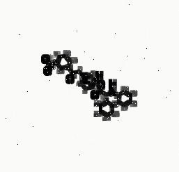 O=C(C[N+]12CCC(CC1)[C@@H](OC(=O)C(Nc1ccccc1)c1ccccc1)C2)c1cccc([N+](=O)[O-])c1